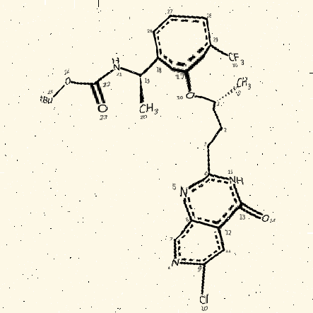 C[C@H](CCc1nc2cnc(Cl)cc2c(=O)[nH]1)Oc1c([C@@H](C)NC(=O)OC(C)(C)C)cccc1C(F)(F)F